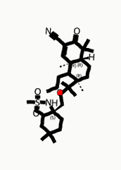 CC(=O)CC1[C@@]2(C)C=C(C#N)C(=O)C(C)(C)[C@@H]2CC[C@@]1(C)C(C)(C)CC[C@@]1(NS(C)(=O)=O)CCC(C)(C)CC1C